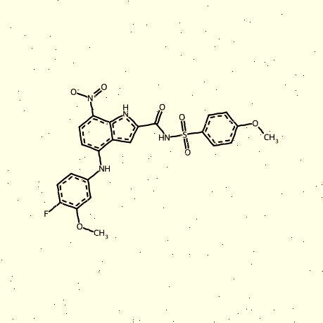 COc1ccc(S(=O)(=O)NC(=O)c2cc3c(Nc4ccc(F)c(OC)c4)ccc([N+](=O)[O-])c3[nH]2)cc1